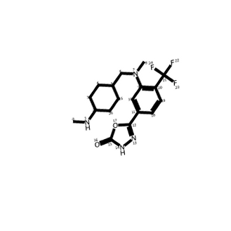 CNC1CCC(CN(C)c2cc(-c3n[nH]c(=O)o3)ccc2C(F)(F)F)CC1